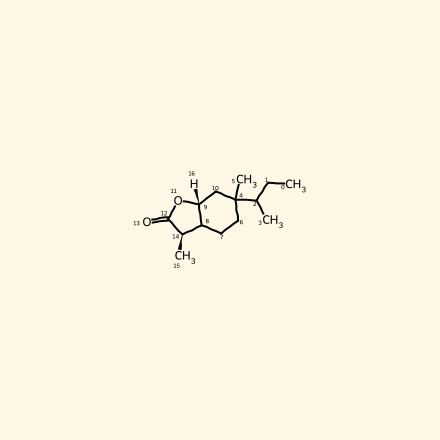 CCC(C)C1(C)CCC2[C@@H](C1)OC(=O)[C@@H]2C